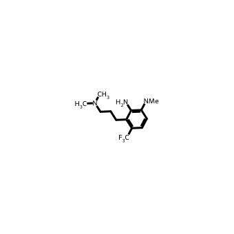 CNc1ccc(C(F)(F)F)c(CCCN(C)C)c1N